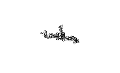 C=CC(=O)OCOc1ccc(C=CC(=O)Oc2ccc(OC(=O)C=Cc3ccc(OCOC(=O)C=C)cc3)c(C(=O)CCCCCC)c2)cc1